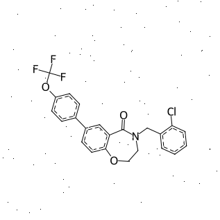 O=C1c2cc(-c3ccc(OC(F)(F)F)cc3)ccc2OCCN1Cc1ccccc1Cl